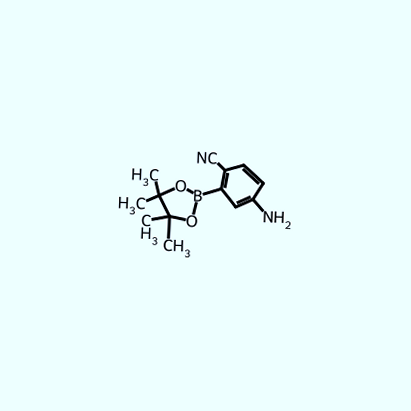 CC1(C)OB(c2cc(N)ccc2C#N)OC1(C)C